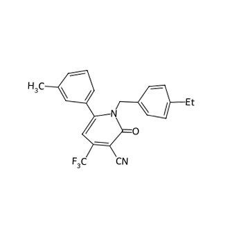 CCc1ccc(Cn2c(-c3cccc(C)c3)cc(C(F)(F)F)c(C#N)c2=O)cc1